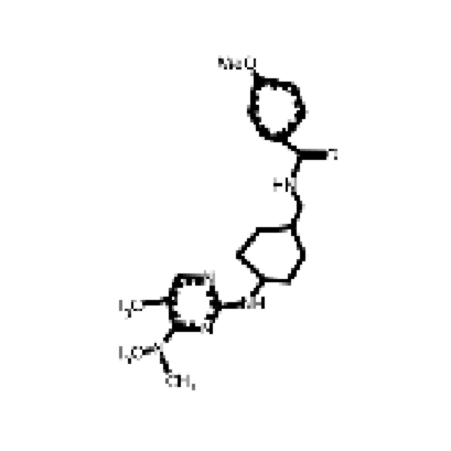 COc1ccc(C(=O)NCC2CCC(Nc3ncc(C)c(N(C)C)n3)CC2)cc1